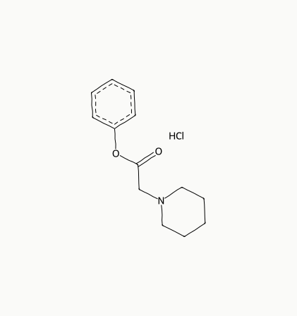 Cl.O=C(CN1CCCCC1)Oc1ccccc1